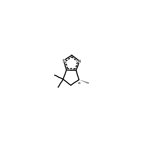 C[C@@H]1CC(C)(C)c2scnc21